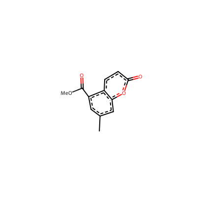 COC(=O)c1cc(C)cc2oc(=O)ccc12